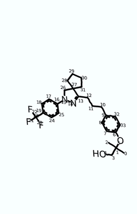 CC(C)(CO)Oc1ccc(CCCC2=NN(c3ccc(C(F)(F)F)cc3)CC23CCCC3)cc1